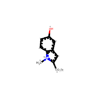 CCOC(=O)c1cc2cc(O)ccc2n1C